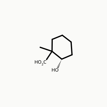 CC1(C(=O)O)CCCC[C@@H]1O